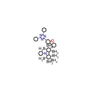 Bc1c(B)c(B)c2c(c1B)c1c(B)c(-c3cccc4oc5cc(-c6nc(-c7ccccc7)nc(-c7ccccc7)n6)ccc5c34)c(B)c(B)c1n2-c1ccccc1